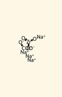 O=C([O-])[O-].[Na+].[Na+].[Na+].[Na+].[O]=[Zr]([O-])[O-]